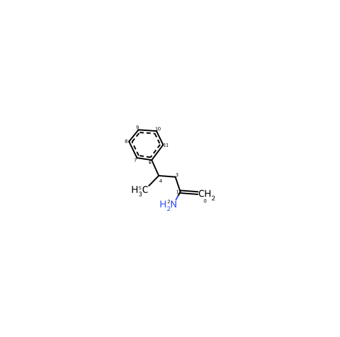 C=C(N)CC(C)c1ccccc1